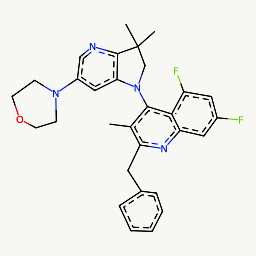 Cc1c(Cc2ccccc2)nc2cc(F)cc(F)c2c1N1CC(C)(C)c2ncc(N3CCOCC3)cc21